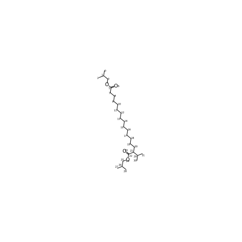 CC(C)COC(=O)CCCCCCCCCCCCCCC(C(=O)OCC(C)C)C(C)C